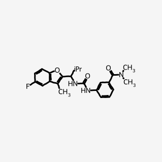 Cc1c(C(NC(=O)Nc2cccc(C(=O)N(C)C)c2)C(C)C)oc2ccc(F)cc12